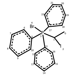 CC(I)P(Br)(c1ccccc1)(c1ccccc1)c1ccccc1